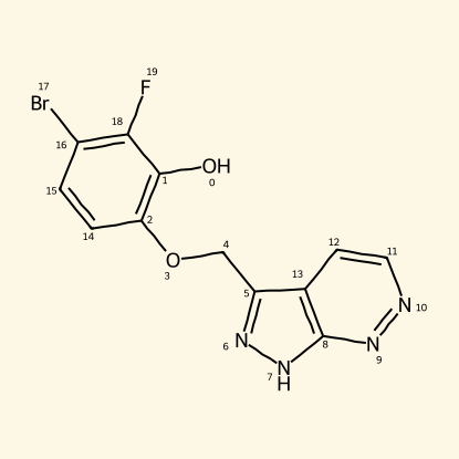 Oc1c(OCc2n[nH]c3nnccc23)ccc(Br)c1F